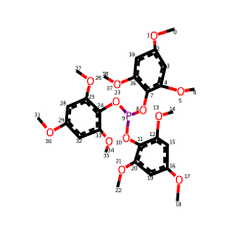 COc1cc(OC)c(OP(Oc2c(OC)cc(OC)cc2OC)Oc2c(OC)cc(OC)cc2OC)c(OC)c1